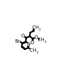 C=CCC(C(=O)OC)C(=O)c1nc(C)ccc1Br